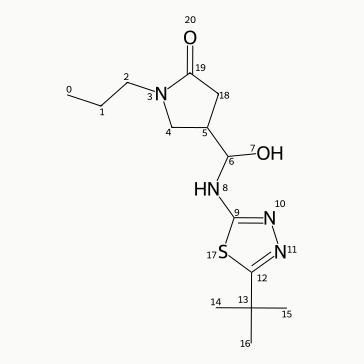 CCCN1CC(C(O)Nc2nnc(C(C)(C)C)s2)CC1=O